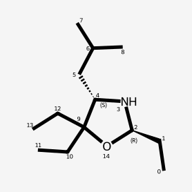 CC[C@@H]1N[C@@H](CC(C)C)C(CC)(CC)O1